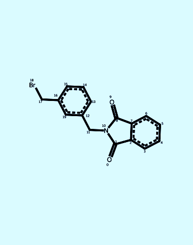 O=C1c2ccccc2C(=O)N1Cc1cccc(CBr)c1